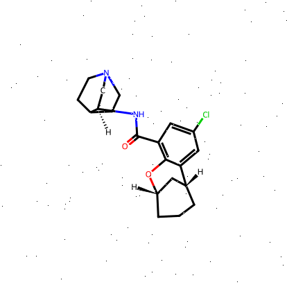 O=C(N[C@@H]1CN2CCC1CC2)c1cc(Cl)cc2c1O[C@H]1CCC[C@@H]2C1